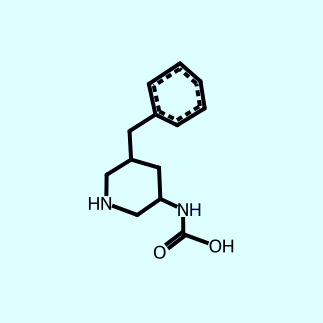 O=C(O)NC1CNCC(Cc2ccccc2)C1